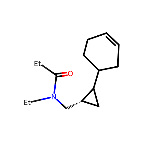 CCC(=O)N(CC)C[C@H]1CC1C1CC=CCC1